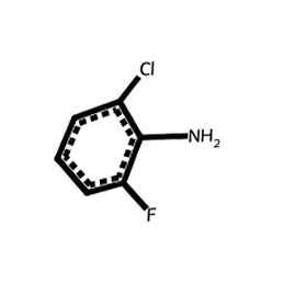 Nc1c(F)cccc1Cl